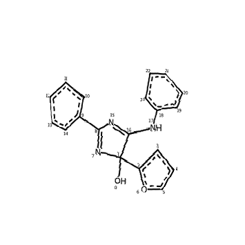 OC1(c2ccco2)N=C(c2ccccc2)N=C1Nc1ccccc1